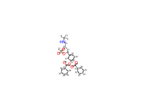 CC(C)(C)NCCCC(OS(C)(=O)=O)c1ccc(OC(=O)c2ccccc2)c(OC(=O)c2ccccc2)c1